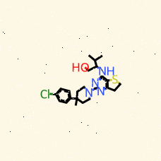 CC(C)C(CO)Nc1nc(N2CCC(C)(c3ccc(Cl)cc3)CC2)nc2c1SCC2